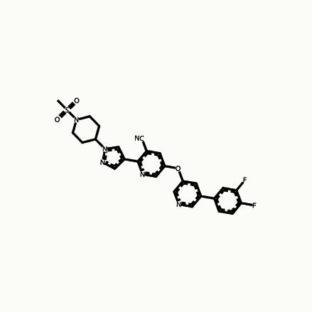 CS(=O)(=O)N1CCC(n2cc(-c3ncc(Oc4cncc(-c5ccc(F)c(F)c5)c4)cc3C#N)cn2)CC1